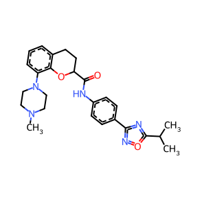 CC(C)c1nc(-c2ccc(NC(=O)C3CCc4cccc(N5CCN(C)CC5)c4O3)cc2)no1